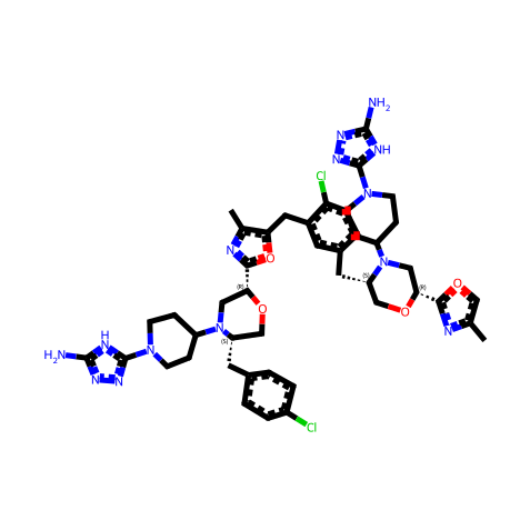 Cc1coc([C@H]2CN(C3CCN(c4nnc(N)[nH]4)CC3)[C@@H](Cc3ccc(Cl)c(Cc4oc([C@H]5CN(C6CCN(c7nnc(N)[nH]7)CC6)[C@@H](Cc6ccc(Cl)cc6)CO5)nc4C)c3)CO2)n1